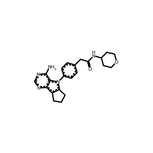 Nc1ncnc2c3c(n(-c4ccc(CC(=O)NC5CCOCC5)cc4)c12)CCC3